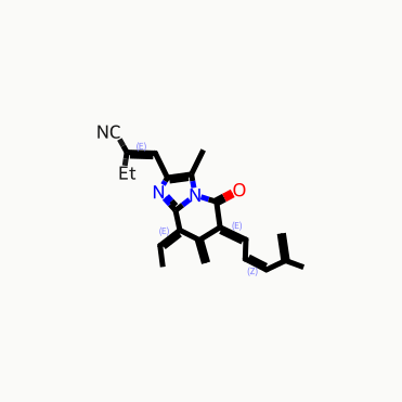 C=C(C)/C=C\C=c1/c(=C)/c(=C\C)c2nc(/C=C(/C#N)CC)c(C)n2c1=O